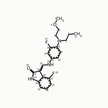 CCCN(CCOC)c1ccc(N/C=C2/C(=O)Nc3cccc(F)c32)cc1F